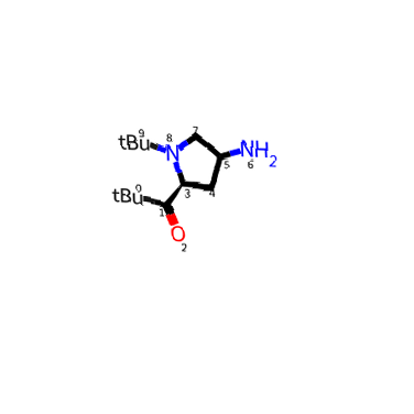 CC(C)(C)C(=O)[C@@H]1CC(N)CN1C(C)(C)C